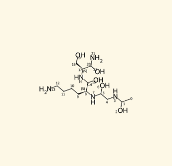 CC(O)NCC(O)N[C@@H](CCCCN)C(O)N[C@@H](CO)C(N)O